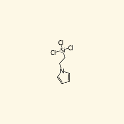 Cl[Si](Cl)(Cl)CCn1cccc1